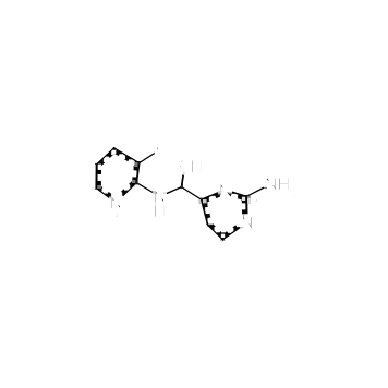 CC(Nc1ncccc1C(F)(F)F)c1ccnc(N)n1